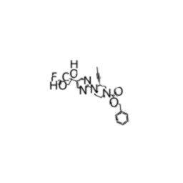 CC#C[C@H]1CN(C(=O)OCc2ccccc2)CCN1c1ncc(C(O)(CO)C(F)(F)F)cn1